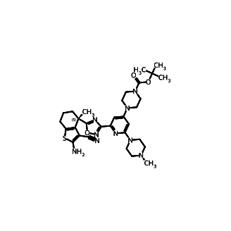 CN1CCN(c2cc(N3CCN(C(=O)OC(C)(C)C)CC3)cc(-c3noc([C@@]4(C)CCCc5sc(N)c(C#N)c54)n3)n2)CC1